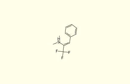 C[SiH](C)C(=Cc1ccccc1)C(F)(F)F